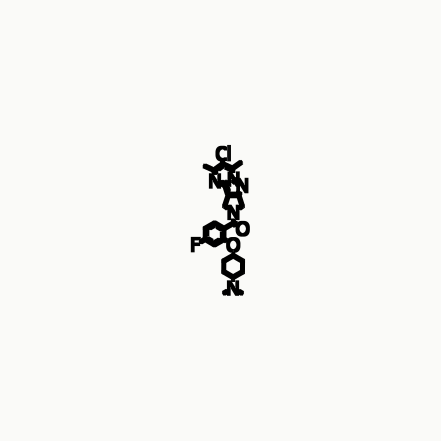 Cc1nc2c3c(nn2c(C)c1Cl)CN(C(=O)c1ccc(F)cc1O[C@H]1CC[C@H](N(C)C)CC1)C3